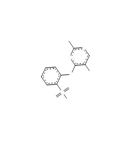 NS(=O)(=O)c1ccccc1Nc1nc(Cl)ncc1Cl